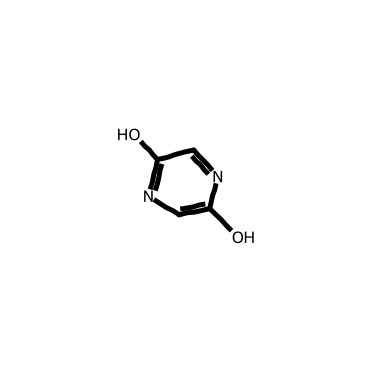 Oc1cnc(O)cn1